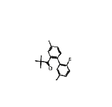 Cc1ccc(-c2cc(C)ccc2F)c(C(=O)C(C)(C)C)c1